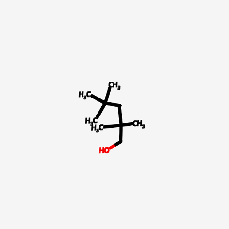 CC(C)(C)[CH]C(C)(C)CO